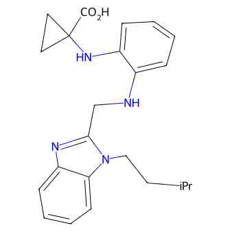 CC(C)CCn1c(CNc2ccccc2NC2(C(=O)O)CC2)nc2ccccc21